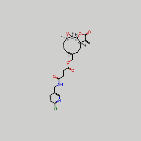 C=C1C(=O)O[C@H]2[C@H]1CC/C(COC(=O)CCC(=O)NCc1ccc(Cl)nc1)=C\CC[C@@]1(C)O[C@@H]21